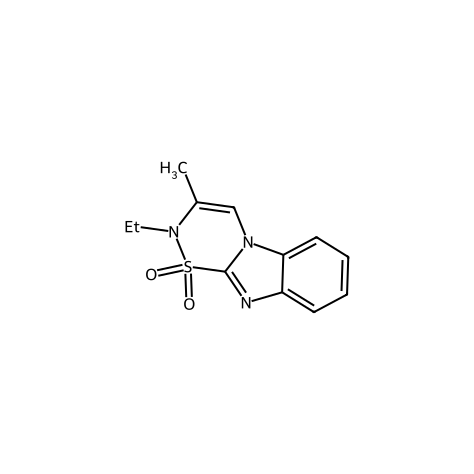 CCN1C(C)=Cn2c(nc3ccccc32)S1(=O)=O